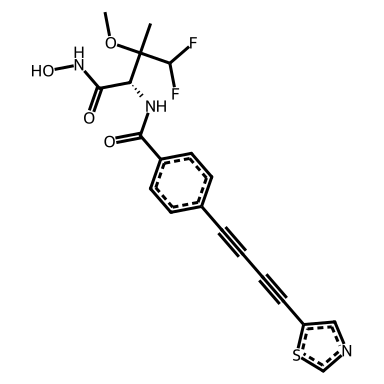 COC(C)(C(F)F)[C@H](NC(=O)c1ccc(C#CC#Cc2cncs2)cc1)C(=O)NO